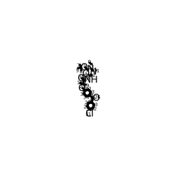 CCN(C(=O)OC(C)(C)C)N(C)CCNC(=O)C(C)(C)Oc1ccc(C(=O)c2ccc(Cl)cc2)cc1